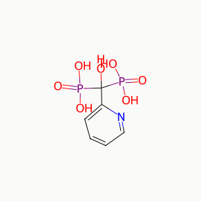 O=P(O)(O)C(O)(c1ccccn1)P(=O)(O)O